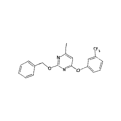 FC(F)(F)c1cccc(Oc2cc(I)nc(OCc3ccccc3)n2)c1